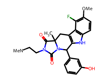 CNCCN1C(=O)N2C(c3cccc(O)c3)c3[nH]c4ccc(OC)c(F)c4c3CC2(C)C1=O